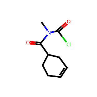 CN(C(=O)Cl)C(=O)C1CC=CCC1